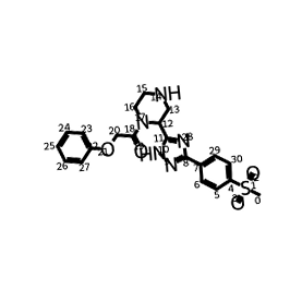 CS(=O)(=O)c1ccc(-c2n[nH]c(C3CNCCN3C(=O)COc3ccccc3)n2)cc1